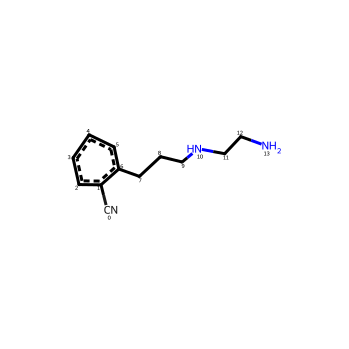 N#Cc1ccccc1CCCNCCN